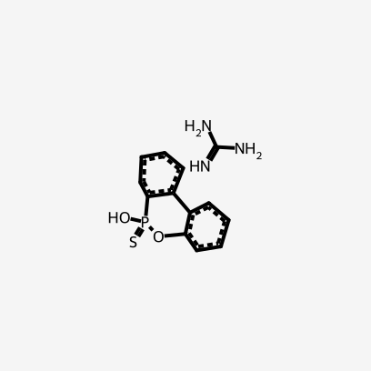 N=C(N)N.OP1(=S)Oc2ccccc2-c2ccccc21